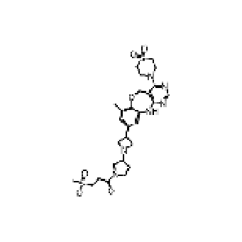 Cc1cc(C2CN(C3CCN(C(=O)CCS(C)(=O)=O)C3)C2)cc2c1OCc1c(ncnc1N1CCS(=O)(=O)CC1)N2